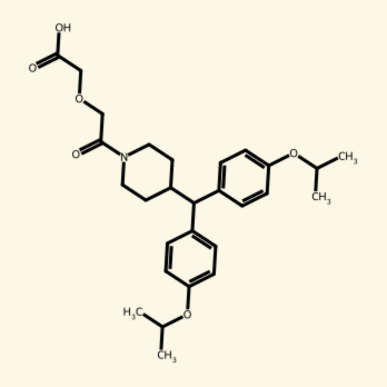 CC(C)Oc1ccc(C(c2ccc(OC(C)C)cc2)C2CCN(C(=O)COCC(=O)O)CC2)cc1